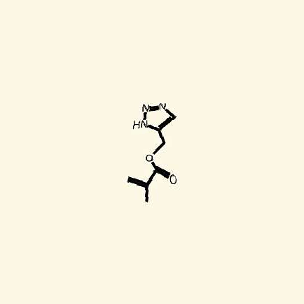 C=C(C)C(=O)OCc1cnn[nH]1